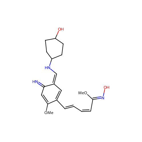 COC1=CC(=N)/C(=C\NC2CCC(O)CC2)C=C1/C=C/C=C\C(=N\O)OC